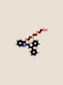 OCCOCCOCCOc1c2ccccc2nn1CCC(c1ccccc1)c1ccccc1